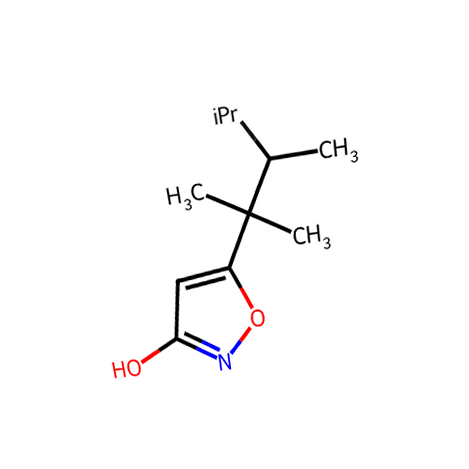 CC(C)C(C)C(C)(C)c1cc(O)no1